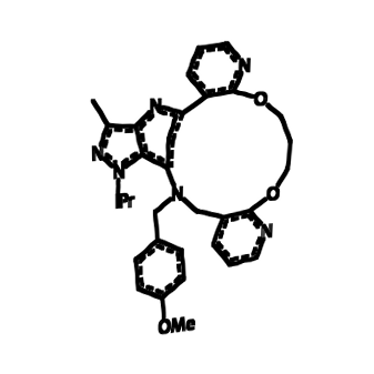 COc1ccc(CN2Cc3cccnc3OCCCOc3ncccc3-c3cc2c2c(n3)c(C)nn2C(C)C)cc1